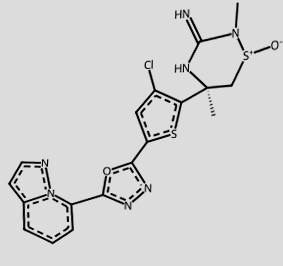 CN1C(=N)N[C@](C)(c2sc(-c3nnc(-c4cccc5ccnn45)o3)cc2Cl)C[S+]1[O-]